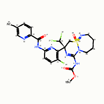 CC(C)(C)OC(=O)NC1=N[C@@](c2nc(NC(=O)c3ccc(C#N)cn3)ccc2F)(C(F)F)C[S@@]2(=O)=NCCCCN12